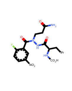 CC(C)CC(NC(=O)O)C(=O)NN(CCC(N)=O)C(=O)c1cc([N+](=O)[O-])ccc1F